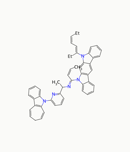 C/C=C\C(=N/C(C)c1cccc(-n2c3c(c4ccccc42)C=CCC=C3)n1)n1c2ccccc2c2cc3c4ccccc4n(/C(=C/C=C\CC)CC)c3cc21